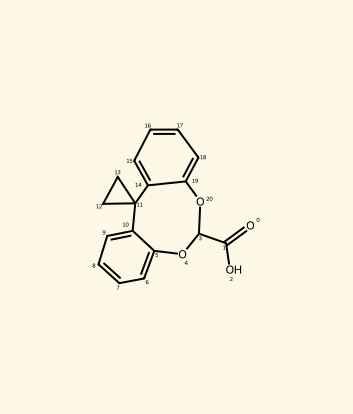 O=C(O)C1Oc2ccccc2C2(CC2)c2ccccc2O1